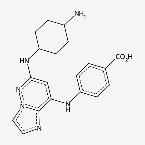 NC1CCC(Nc2cc(Nc3ccc(C(=O)O)cc3)c3nccn3n2)CC1